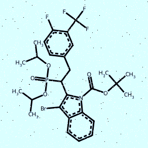 CC(C)OP(=O)(OC(C)C)C(Cc1ccc(F)c(C(F)(F)F)c1)c1c(Br)c2ccccc2n1C(=O)OC(C)(C)C